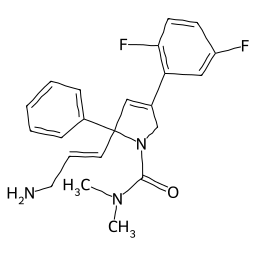 CN(C)C(=O)N1CC(c2cc(F)ccc2F)=CC1(C=CCN)c1ccccc1